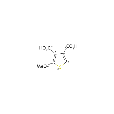 COc1scc(C(=O)O)c1C(=O)O